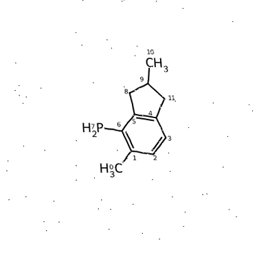 Cc1ccc2c(c1P)CC(C)C2